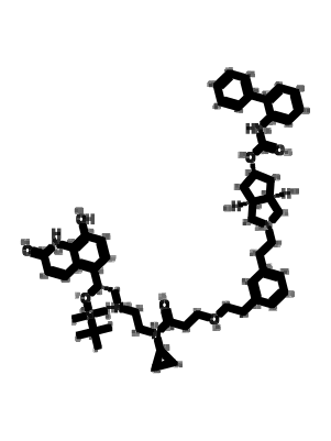 CC(C)(C)[Si](C)(C)O[C@@H](CNCCN(C(=O)CCOCCc1cccc(CCN2C[C@H]3C[C@H](OC(=O)Nc4ccccc4-c4ccccc4)C[C@H]3C2)c1)C1CC1)c1ccc(O)c2[nH]c(=O)ccc12